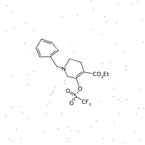 CCOC(=O)C1=C(OS(=O)(=O)C(F)(F)F)CN(Cc2ccccc2)CC1